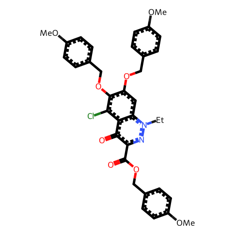 CCn1nc(C(=O)OCc2ccc(OC)cc2)c(=O)c2c(Cl)c(OCc3ccc(OC)cc3)c(OCc3ccc(OC)cc3)cc21